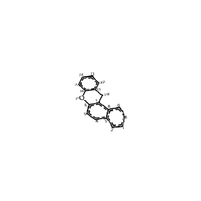 [c]1ccc2ccc3c(c2c1)Cc1ccccc1O3